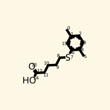 Cc1ccc(C)c(SCCCCC(=O)O)c1